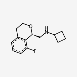 Fc1cccc2c1[C@H](CNC1CCC1)OCC2